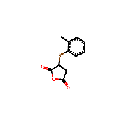 Cc1ccccc1SC1CC(=O)OC1=O